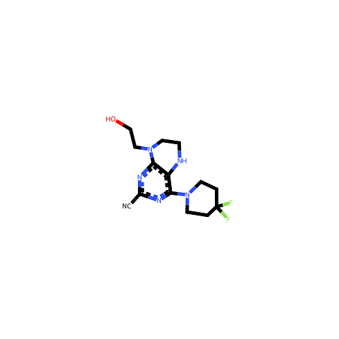 N#Cc1nc2c(c(N3CCC(F)(F)CC3)n1)NCCN2CCO